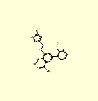 CCOc1ncccc1-c1cc(NCc2n[nH]c(C)n2)c(NC(C)C)c(C(C)=N)n1